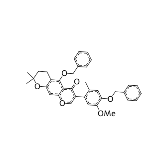 COc1cc(-c2coc3cc4c(c(OCc5ccccc5)c3c2=O)CCC(C)(C)O4)c(C)cc1OCc1ccccc1